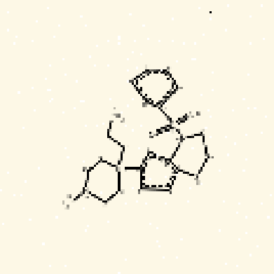 CCC[N+]1(c2ccc3c(c2)N(S(=O)(=O)c2ccccc2)CCS3)CCN(C)CC1